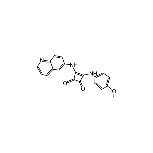 COc1ccc(Nc2c(Nc3ccc4ncccc4c3)c(=O)c2=O)cc1